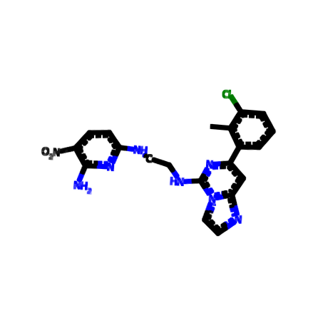 Cc1c(Cl)cccc1-c1cc2nccn2c(NCCNc2ccc([N+](=O)[O-])c(N)n2)n1